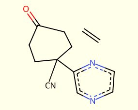 C=C.N#CC1(c2cnccn2)CCC(=O)CC1